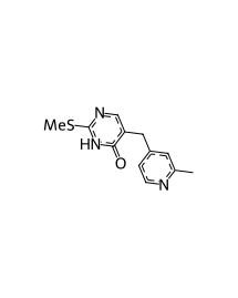 CSc1ncc(Cc2ccnc(C)c2)c(=O)[nH]1